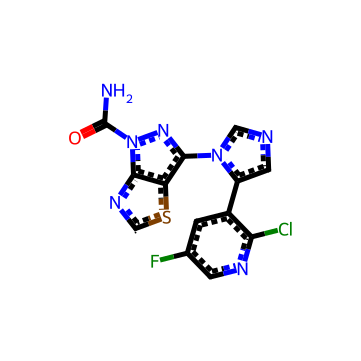 NC(=O)n1nc(-n2cncc2-c2cc(F)cnc2Cl)c2s[c]nc21